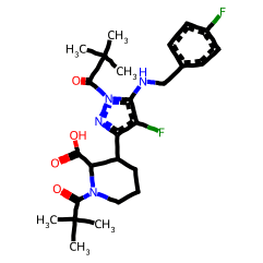 CC(C)(C)C(=O)N1CCCC(c2nn(C(=O)C(C)(C)C)c(NCc3ccc(F)cc3)c2F)C1C(=O)O